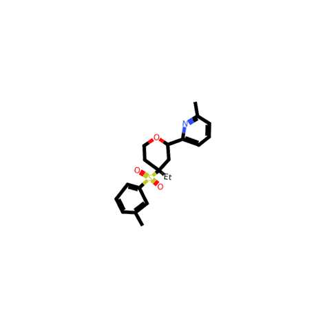 CCC1(S(=O)(=O)c2cccc(C)c2)CCOC(c2cccc(C)n2)C1